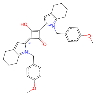 COc1ccc(Cn2c(C3=C(O)/C(=C4\C=C5CCCCC5=[N+]4Cc4ccc(OC)cc4)C3=O)cc3c2CCCC3)cc1